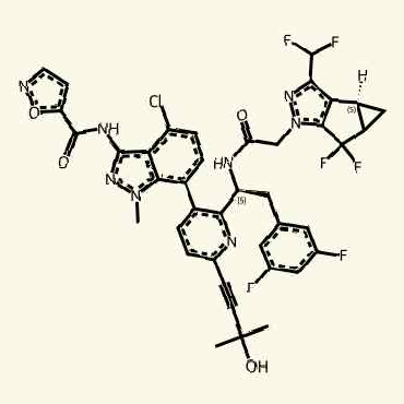 Cn1nc(NC(=O)c2ccno2)c2c(Cl)ccc(-c3ccc(C#CC(C)(C)O)nc3[C@H](Cc3cc(F)cc(F)c3)NC(=O)Cn3nc(C(F)F)c4c3C(F)(F)C3C[C@H]43)c21